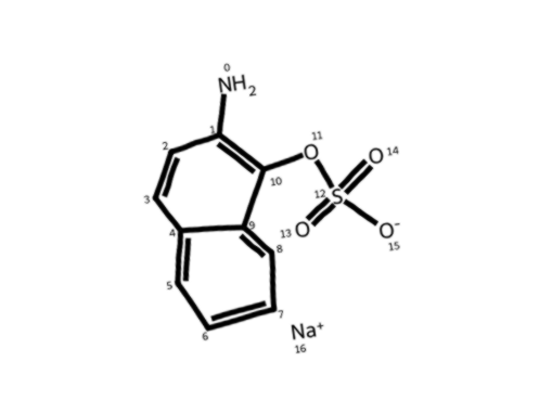 Nc1ccc2ccccc2c1OS(=O)(=O)[O-].[Na+]